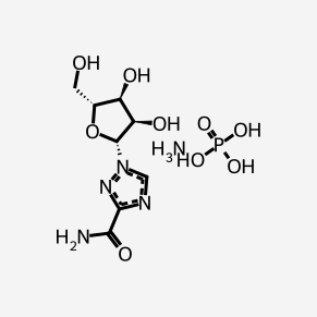 N.NC(=O)c1ncn([C@@H]2O[C@H](CO)[C@@H](O)[C@H]2O)n1.O=P(O)(O)O